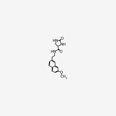 COc1ccc2ccc(CCNC(=O)C3CNC(=O)N3)cc2c1